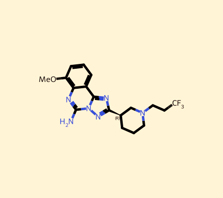 COc1cccc2c1nc(N)n1nc([C@@H]3CCCN(CCC(F)(F)F)C3)nc21